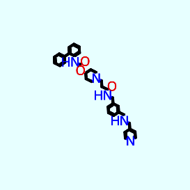 O=C(CCN1CCC(OC(=O)Nc2ccccc2-c2ccccc2)CC1)NCc1cccc(CNCc2ccncc2)c1